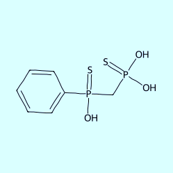 OP(O)(=S)CP(O)(=S)c1ccccc1